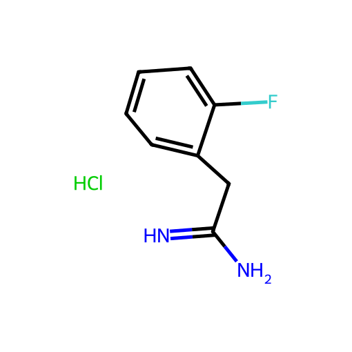 Cl.N=C(N)Cc1ccccc1F